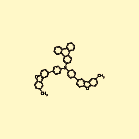 Cc1ccc2oc3ccc(-c4ccc(N(c5ccc(-c6ccc7oc8ccc(C)cc8c7c6)cc5)c5ccc6c7ccccc7c7ccccc7c6c5)cc4)cc3c2c1